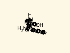 CN1CCN(C2CCN(c3ccc(Nc4nc(N[C@H]5CC[C@H](O)CC5)c(-c5nccc6[nH]cnc56)nc4C(N)=O)cc3)CC2)CC1